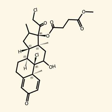 COC(=O)CCC(=O)O[C@]1(C(=O)CCl)C(C)C[C@H]2[C@@H]3CCC4=CC(=O)C=C[C@]4(C)[C@@]3(Cl)C(O)C[C@@]21C